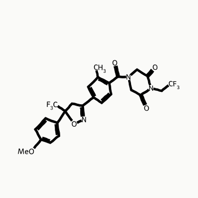 COc1ccc(C2(C(F)(F)F)CC(c3ccc(C(=O)N4CC(=O)N(CC(F)(F)F)C(=O)C4)c(C)c3)=NO2)cc1